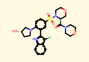 O=C([C@@H]1COCCN1S(=O)(=O)c1ccc(N2CC[C@H](O)C2)c(-c2[nH]c3ccccc3c2F)c1)N1CCOCC1